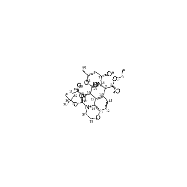 CCOC(=O)C(NC(C)=O)c1ccc2c(c1C(NC(C)=O)C(=O)OCC)N(C(=O)OC(C)(C)C)CCO2